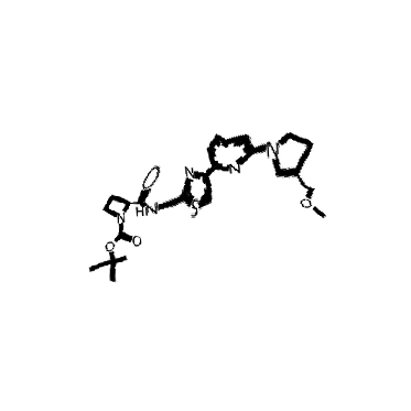 COC[C@@H]1CCN(c2cccc(-c3csc(NC(=O)[C@@H]4CCN4C(=O)OC(C)(C)C)n3)n2)C1